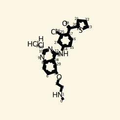 CNCCOc1ccc2ncnc(Nc3ccc(C(=O)c4cccs4)c(Cl)c3)c2c1.Cl.Cl